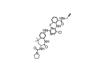 C#CCNC(=O)c1cccc(F)c1Nc1nc(Nc2ccc3c(c2)NC(=O)C(NC(=O)N2CCCC2)CC3(C)C)ncc1Cl